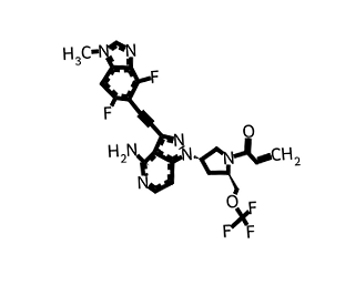 C=CC(=O)N1C[C@@H](n2nc(C#Cc3c(F)cc4c(ncn4C)c3F)c3c(N)nccc32)C[C@@H]1COC(F)(F)F